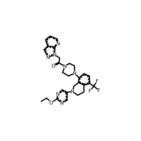 CCOc1ncc(N2CCc3c(C(F)(F)F)ccc(N4CCN(C(=O)Cn5ncc6cccnc65)CC4)c3C2)cn1